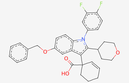 O=C(O)C1(c2c(C3CCOCC3)n(-c3ccc(F)c(F)c3)c3ccc(OCc4ccccc4)cc23)C=CCCC1